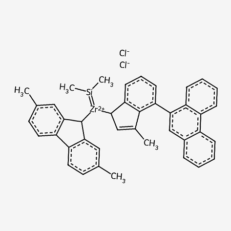 CC1=C[CH]([Zr+2]([CH]2c3cc(C)ccc3-c3ccc(C)cc32)=[Si](C)C)c2cccc(-c3cc4ccccc4c4ccccc34)c21.[Cl-].[Cl-]